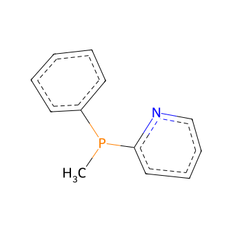 CP(c1ccccc1)c1ccccn1